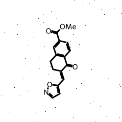 COC(=O)c1ccc2c(c1)CCC(=Cc1ccno1)C2=O